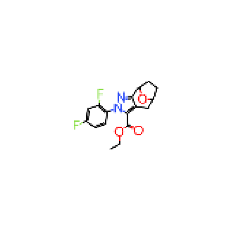 CCOC(=O)c1c2c(nn1-c1ccc(F)cc1F)C1CCC(C2)O1